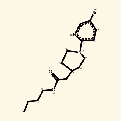 CCCCOC(=O)CC1CCN(c2ccc(Br)cn2)CC1